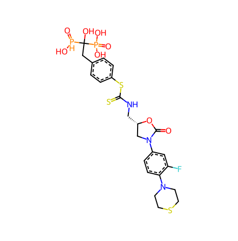 O=C1O[C@@H](CNC(=S)Sc2ccc(CC(O)([PH](=O)O)P(=O)(O)O)cc2)CN1c1ccc(N2CCSCC2)c(F)c1